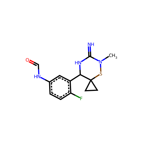 CN1SC2(CC2)C(c2cc(NC=O)ccc2F)NC1=N